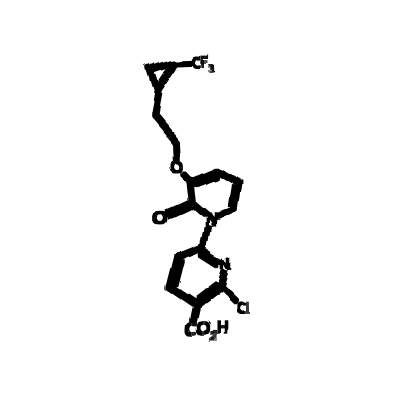 O=C(O)c1ccc(-n2cccc(OCCC3CC3C(F)(F)F)c2=O)nc1Cl